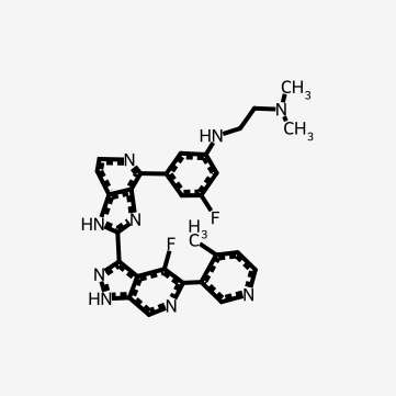 Cc1ccncc1-c1ncc2[nH]nc(-c3nc4c(-c5cc(F)cc(NCCN(C)C)c5)nccc4[nH]3)c2c1F